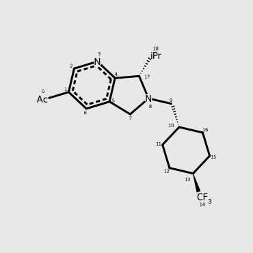 CC(=O)c1cnc2c(c1)CN(C[C@H]1CC[C@H](C(F)(F)F)CC1)[C@H]2C(C)C